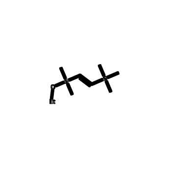 CCO[Si](C)(C)C=C[Si](C)(C)C